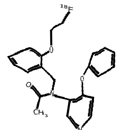 CC(=O)N(Cc1ccccc1OCC[18F])c1cnccc1Oc1ccccc1